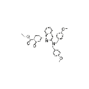 CCOC(=O)C1CCC(c2nc(N(Cc3ccc(OC)cc3)Cc3ccc(OC)cc3)cc3ccccc23)=CC1=O